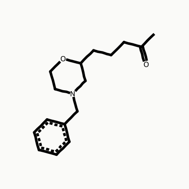 CC(=O)CCCC1CN(Cc2ccccc2)CCO1